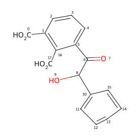 O=C(O)c1cccc(C(=O)C(O)c2ccccc2)c1C(=O)O